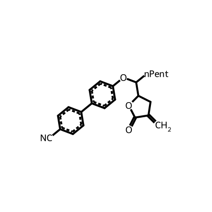 C=C1CC(C(CCCCC)Oc2ccc(-c3ccc(C#N)cc3)cc2)OC1=O